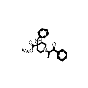 COC(=O)C1(Nc2ccccc2)CCN(C(C)C(=O)c2ccccc2)CC1